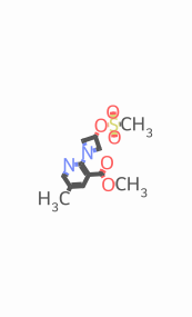 COC(=O)c1cc(C)cnc1N1CC(OS(C)(=O)=O)C1